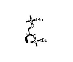 C=C[C@@H](CO[Si](C)(C)C(C)(C)C)O[Si](C)(C)C(C)(C)C